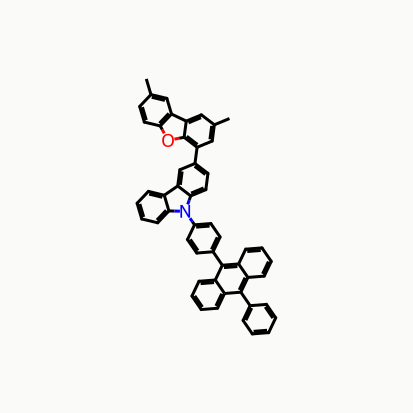 Cc1ccc2oc3c(-c4ccc5c(c4)c4ccccc4n5-c4ccc(-c5c6ccccc6c(-c6ccccc6)c6ccccc56)cc4)cc(C)cc3c2c1